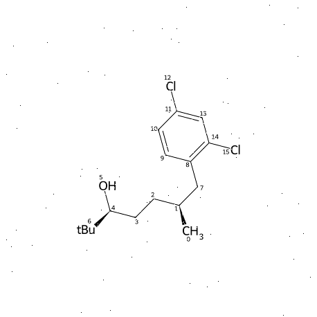 C[C@@H](CC[C@H](O)C(C)(C)C)Cc1ccc(Cl)cc1Cl